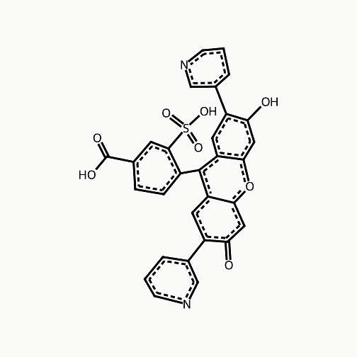 O=C(O)c1ccc(-c2c3cc(-c4cccnc4)c(=O)cc-3oc3cc(O)c(-c4cccnc4)cc23)c(S(=O)(=O)O)c1